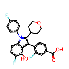 O=C(O)c1ccc(-c2c(C3CCOCC3)n(-c3ccc(F)cc3)c3ccc(F)c(O)c23)c(F)c1